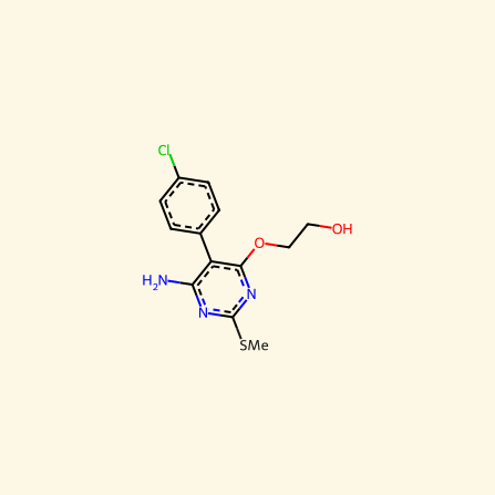 CSc1nc(N)c(-c2ccc(Cl)cc2)c(OCCO)n1